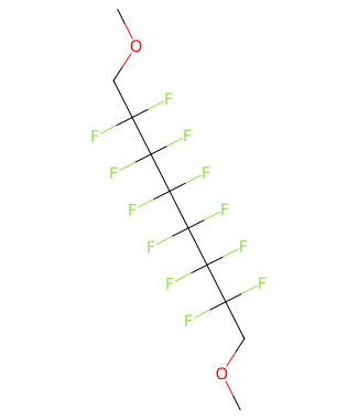 COCC(F)(F)C(F)(F)C(F)(F)C(F)(F)C(F)(F)C(F)(F)COC